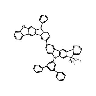 CC1(C)c2ccccc2-c2cc3c4cc(-c5ccc6c(c5)c5cc7c(cc5n6-c5ccccc5)oc5ccccc57)ccc4n(-c4cc(-c5ccccc5)cc(-c5ccccc5)c4)c3cc21